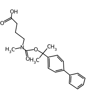 CN(CCCC(=O)O)C(=O)OC(C)(C)c1ccc(-c2ccccc2)cc1